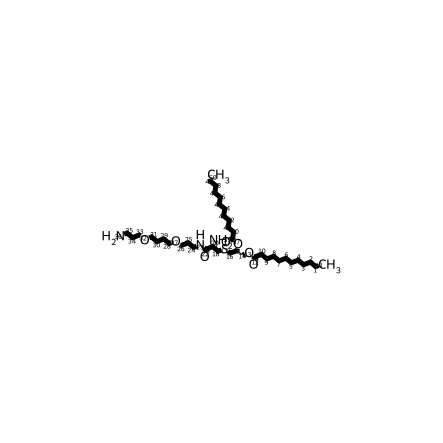 CCCCCCCCCCCC(=O)OC[C@H](CSC[C@H](N)C(=O)NCCCOCCCCOCCCN)OC(=O)CCCCCCCCCCC